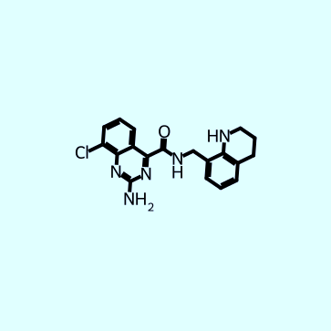 Nc1nc(C(=O)NCc2cccc3c2NCCC3)c2cccc(Cl)c2n1